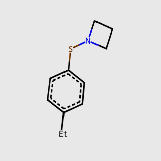 CCc1ccc(SN2CCC2)cc1